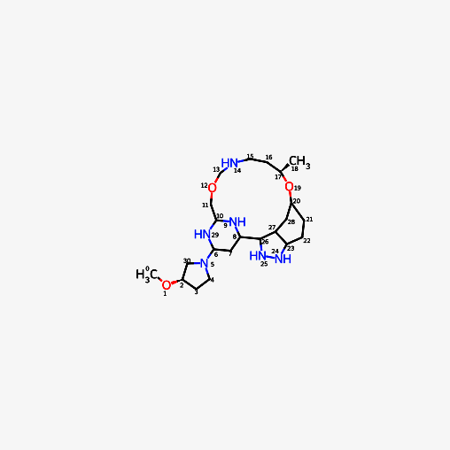 CO[C@@H]1CCN(C2CC3NC(COCNCC[C@@H](C)OC4CCC5NNC3C5C4)N2)C1